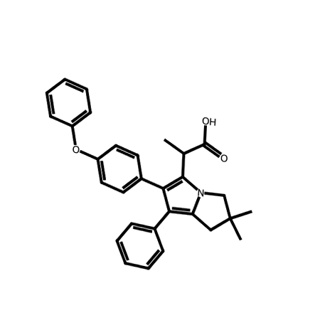 CC(C(=O)O)c1c(-c2ccc(Oc3ccccc3)cc2)c(-c2ccccc2)c2n1CC(C)(C)C2